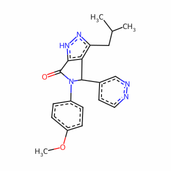 COc1ccc(N2C(=O)c3[nH]nc(CC(C)C)c3C2c2ccnnc2)cc1